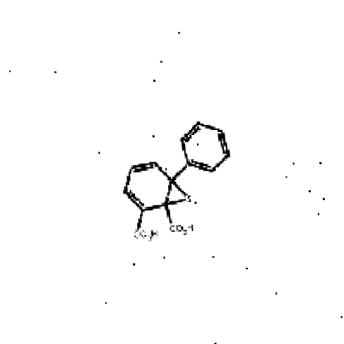 O=C(O)C1=CC=CC2(c3ccccc3)SC12C(=O)O